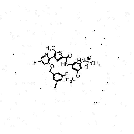 COc1cc(NC(=O)c2cc(-c3ncc(F)cc3OCc3cc(F)cc(F)c3)c(C)s2)cc(NS(C)(=O)=O)c1